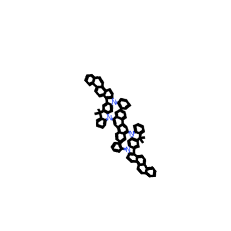 CC1(C)c2ccccc2N(c2cc3c4ccccc4c(N4c5ccccc5C(C)(C)c5cc6c7c8ccc9c%10ccccc%10ccc9c8ccc7n(-c7ccccc7)c6cc54)cc3c3ccccc23)c2cc3c(cc21)c1c2ccc4c5ccccc5ccc4c2ccc1n3-c1ccccc1